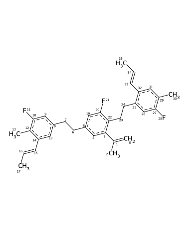 C=C(C)c1cc(CCc2cc(F)c(C)c(/C=C/C)c2)cc(F)c1CCc1cc(F)c(C)cc1/C=C/C